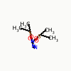 CCCCCCCCC(CCCCCC)CSCCOC(=O)CCN(CCCn1ccnc1)CCC(=O)OCCSCC(CCCCCC)CCCCCCCC